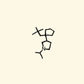 CC(C)N1CCC(C2(CC(C)(C)C)CCCC2)C1